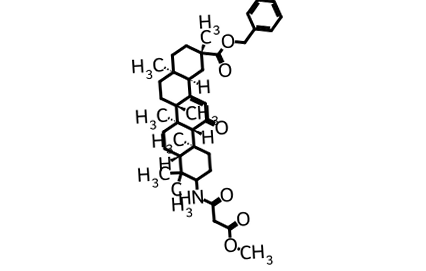 COC(=O)CC(=O)NC1CC[C@]2(C)[C@H]3C(=O)C=C4[C@@H]5C[C@@](C)(C(=O)OCc6ccccc6)CC[C@]5(C)CC[C@@]4(C)[C@]3(C)CC[C@H]2C1(C)C